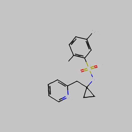 Cc1ccc([N+](=O)[O-])cc1S(=O)(=O)NC1(Cc2ccccn2)CC1